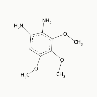 COc1cc(N)c(N)c(OC)c1OC